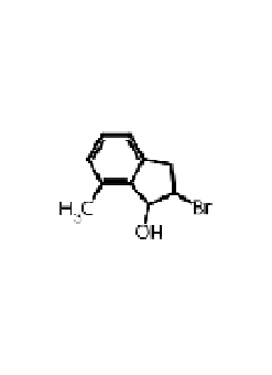 Cc1cccc2c1C(O)C(Br)C2